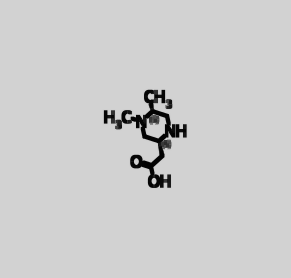 C[C@H]1CN[C@@H](CC(=O)O)CN1C